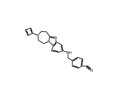 N#Cc1ccc(CNc2ccc3c(c2)nc2n3CCN(C3=CC=C3)CC2)cc1